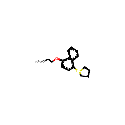 COCCOc1ccc([SH]2CCCC2)c2ccccc12